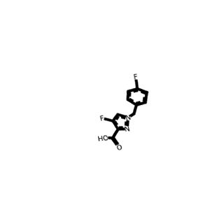 O=C(O)c1nn(Cc2ccc(F)cc2)cc1F